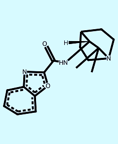 CC1(C)[C@H](NC(=O)c2nc3ccccc3o2)C2CCN1CC2